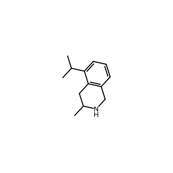 CC1Cc2c(cccc2C(C)C)CN1